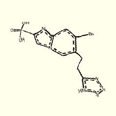 O=P(O)(O)c1cn2cc(CCc3nnn[nH]3)c(Br)cc2n1